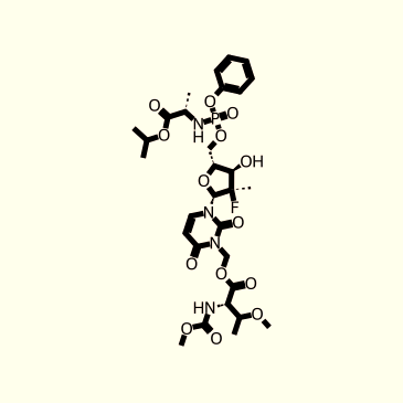 COC(=O)N[C@H](C(=O)OCn1c(=O)ccn([C@@H]2O[C@H](COP(=O)(N[C@@H](C)C(=O)OC(C)C)Oc3ccccc3)[C@@H](O)[C@@]2(C)F)c1=O)C(C)OC